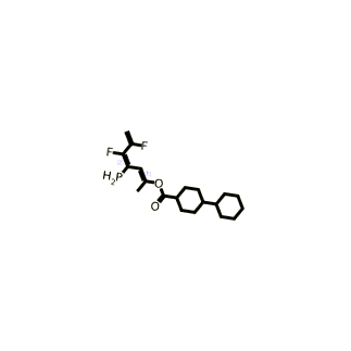 C=C(F)/C(F)=C(P)\C=C(/C)OC(=O)C1CCC(C2CCCCC2)CC1